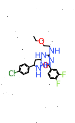 CCOC[C@H](C)N/C(=N/C(=O)c1ccc(F)c(F)c1)NC1CC(c2ccc(Cl)cc2)NN1